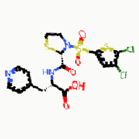 O=C(O)[C@H](Cc1ccncc1)NC(=O)[C@@H]1SCCN1S(=O)(=O)c1cc(Cl)c(Cl)s1